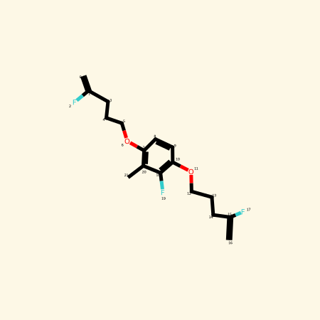 C=C(F)CCCOc1ccc(OCCCC(=C)F)c(F)c1C